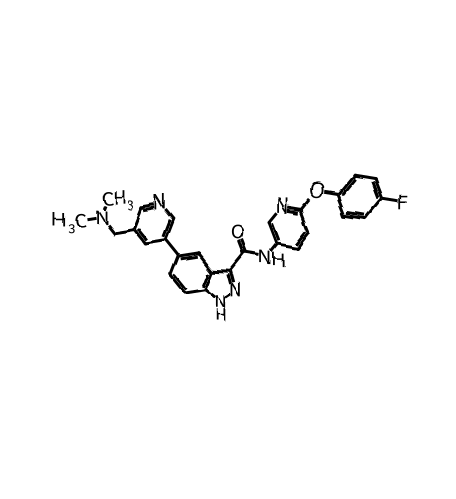 CN(C)Cc1cncc(-c2ccc3[nH]nc(C(=O)Nc4ccc(Oc5ccc(F)cc5)nc4)c3c2)c1